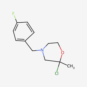 CC1(Cl)CN(Cc2ccc(F)cc2)CCO1